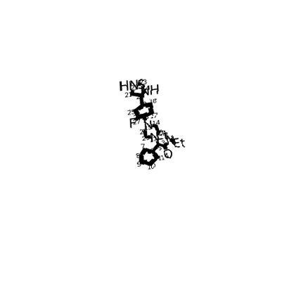 CCN(CC)C(=O)C(c1ccccc1)N1CCN(c2ccc(C3CNSN3)cc2F)CC1